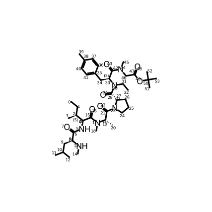 CC[C@H](C)[C@H](NC(=O)[C@H](CC(C)C)NC)C(=O)N(C)[C@@H](C)C(=O)N1CCC[C@H]1C(=O)N(CC)[C@@H](Cc1ccc(C)cc1)C(=O)N(C)CC(=O)OC(C)(C)C